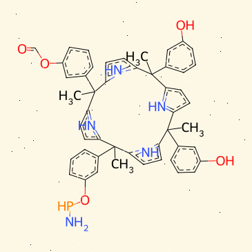 CC1(c2cccc(O)c2)c2ccc([nH]2)C(C)(c2cccc(O)c2)c2ccc([nH]2)C(C)(c2cccc(OPN)c2)c2ccc([nH]2)C(C)(c2cccc(OC=O)c2)c2ccc1[nH]2